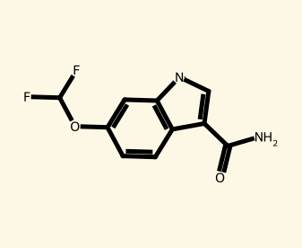 NC(=O)C1=C[N]c2cc(OC(F)F)ccc21